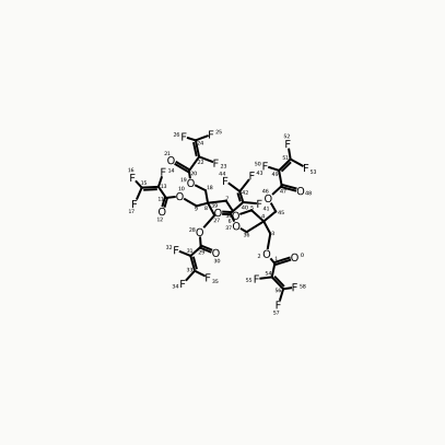 O=C(OCC(COCC(COC(=O)C(F)=C(F)F)(COC(=O)C(F)=C(F)F)COC(=O)C(F)=C(F)F)(COC(=O)C(F)=C(F)F)COC(=O)C(F)=C(F)F)C(F)=C(F)F